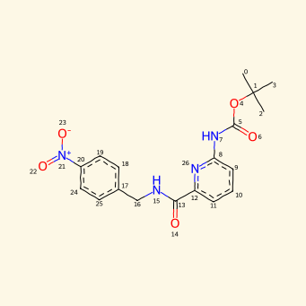 CC(C)(C)OC(=O)Nc1cccc(C(=O)NCc2ccc([N+](=O)[O-])cc2)n1